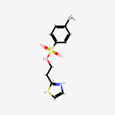 Cc1ccc(S(=O)(=O)OCCc2nccs2)cc1